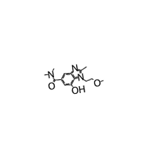 COCCn1c(C)nc2cc(C(=O)N(C)C)cc(O)c21